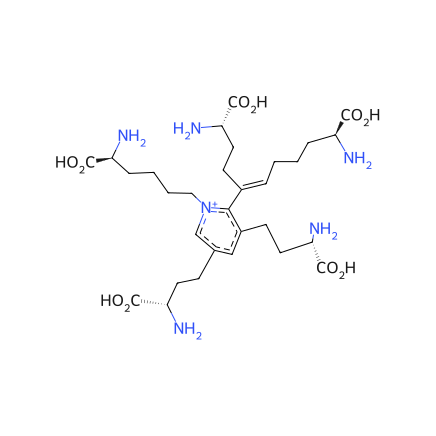 N[C@@H](CCC/C=C(\CC[C@H](N)C(=O)O)c1c(CC[C@H](N)C(=O)O)cc(CC[C@H](N)C(=O)O)c[n+]1CCCC[C@H](N)C(=O)O)C(=O)O